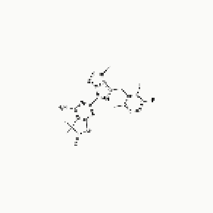 Cc1csc2c(-c3nc(N)c4c(n3)NC(=O)C4(C)C)nc(Cc3c(F)ccc(F)c3F)n12